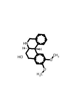 COc1cc2c(cc1OC)[C@H]1c3ccccc3CN[C@@H]1CC2.Cl